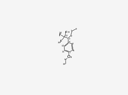 CCCC(c1ccc(OCC)cc1)C(F)(F)F